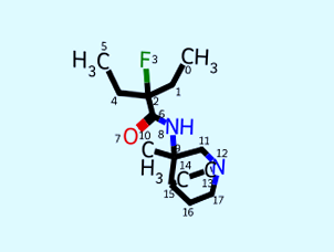 CCC(F)(CC)C(=O)NC1(C)CN2CCC1CC2